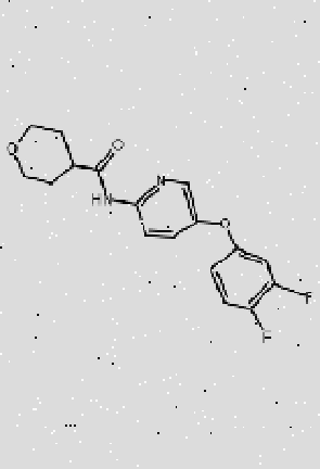 O=C(Nc1ccc(Oc2ccc(F)c(F)c2)cn1)C1CCOCC1